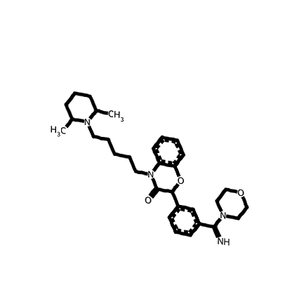 CC1CCCC(C)N1CCCCCN1C(=O)C(c2cccc(C(=N)N3CCOCC3)c2)Oc2ccccc21